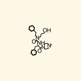 CN1CCN(C(=O)C(Cc2ccccc2)NC(=O)N(CCCO)CCc2ccccc2)CC1